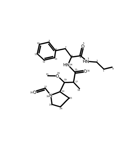 CCCNC(=O)C(Cc1ccccc1)NC(=O)C(C)C(OC)C1CCCN1C=O